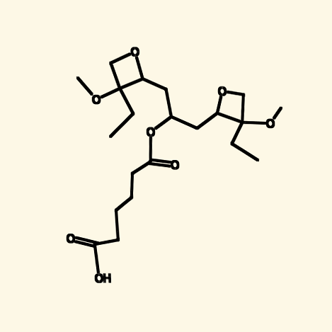 CCC1(OC)COC1CC(CC1OCC1(CC)OC)OC(=O)CCCCC(=O)O